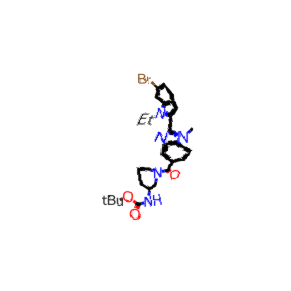 CCn1c(-c2nc3cc(C(=O)N4CCCC(NC(=O)OC(C)(C)C)C4)ccc3n2C)cc2ccc(Br)cc21